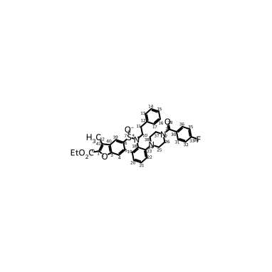 CCOC(=O)c1oc2ccc([S+]([O-])N(CCc3ccccc3)c3ccccc3N3CCN(C(=O)c4ccc(F)cc4)CC3)cc2c1C